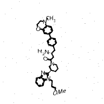 COCCCn1c([C@@H]2CCCN(C(=O)C[C@H](N)Cc3ccc(-c4ccc5c(c4)OCCN5C)cc3)C2)nc2ccccc21